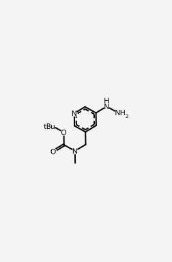 CN(Cc1cncc(NN)c1)C(=O)OC(C)(C)C